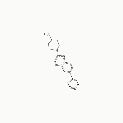 CC1CCN(c2ccc3cc(-c4ccncc4)ccc3n2)CC1